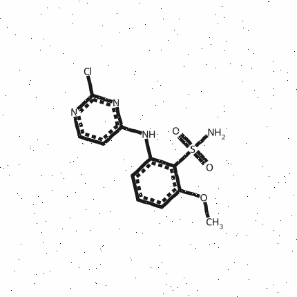 COc1cccc(Nc2ccnc(Cl)n2)c1S(N)(=O)=O